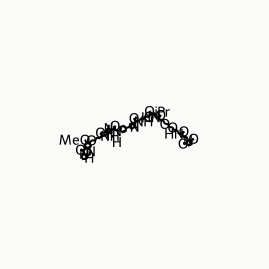 COc1cc2c(cc1OCCCC(=O)Nc1cn(C)c(C(=O)Nc3ccc(-c4cc(C(=O)NCCCOC(=O)C(NC(=O)CCOCCOCCNC(=O)CCN5C(=O)C=CC5=O)C(C)C)n(C)c4)cc3)n1)N=C[C@@H]1CCCN1C2=O